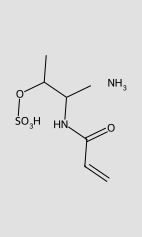 C=CC(=O)NC(C)C(C)OS(=O)(=O)O.N